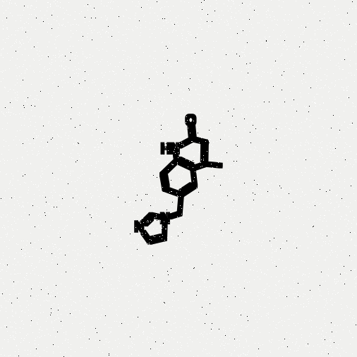 Cc1cc(=O)[nH]c2ccc(Cn3ccnc3)cc12